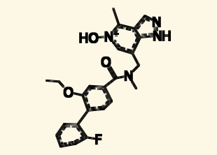 CCOc1cc(C(=O)N(C)Cc2c[n+](O)c(C)c3cn[nH]c23)ccc1-c1ccccc1F